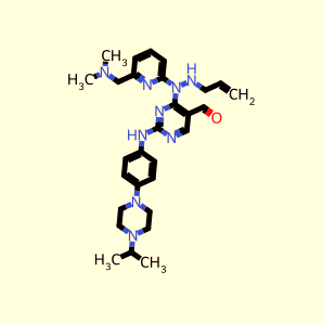 C=CCNN(c1cccc(CN(C)C)n1)c1nc(Nc2ccc(N3CCN(C(C)C)CC3)cc2)ncc1C=O